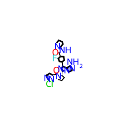 Nc1nccn2c([C@@H]3CCCN3C(=O)c3ccnc(Cl)n3)nc(-c3ccc(C(=O)Nc4ccccn4)c(F)c3)c12